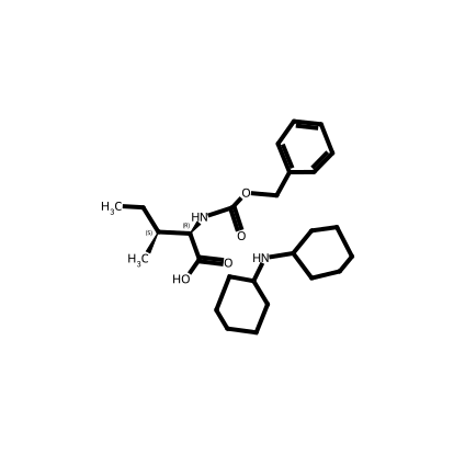 C1CCC(NC2CCCCC2)CC1.CC[C@H](C)[C@@H](NC(=O)OCc1ccccc1)C(=O)O